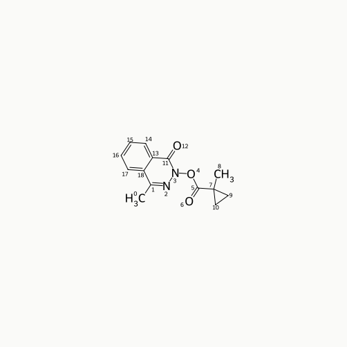 Cc1nn(OC(=O)C2(C)CC2)c(=O)c2ccccc12